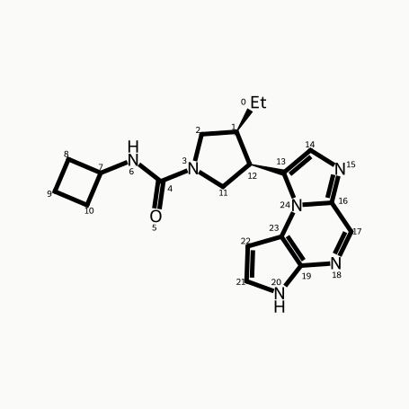 CC[C@@H]1CN(C(=O)NC2CCC2)C[C@@H]1c1cnc2cnc3[nH]ccc3n12